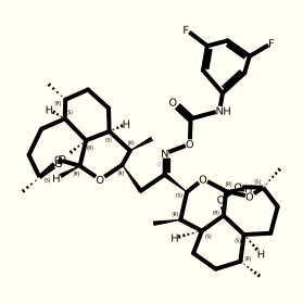 C[C@H]1[C@@H](/C(C[C@H]2O[C@@H]3O[C@]4(C)CC[C@H]5[C@H](C)CC[C@@H]([C@H]2C)[C@@]35OO4)=N\OC(=O)Nc2cc(F)cc(F)c2)O[C@@H]2O[C@]3(C)CC[C@H]4[C@H](C)CC[C@@H]1[C@@]24OO3